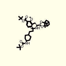 COc1c(C[C@H](NC(=O)CCC2CCC(NC(=O)OC(C)(C)C)CC2)B2OC3CC4CC(C4(C)C)C3(C)O2)cccc1C(=O)OC(C)(C)C